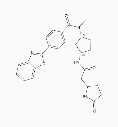 CN(C(=O)c1ccc(-c2nc3ccccc3o2)cc1)[C@@H]1CC[C@H](NC(=O)CC2CCC(=O)N2)C1